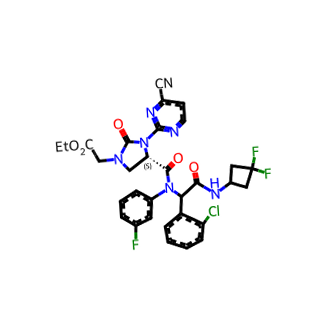 CCOC(=O)CN1C[C@@H](C(=O)N(c2cccc(F)c2)C(C(=O)NC2CC(F)(F)C2)c2ccccc2Cl)N(c2nccc(C#N)n2)C1=O